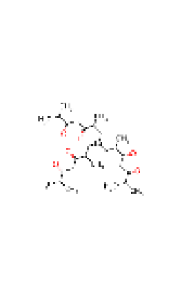 CC(C)C(=O)CC(=O)C(C)[CH2][La]([CH2]C(C)C(=O)CC(=O)C(C)C)[CH2]C(C)C(=O)CC(=O)C(C)C